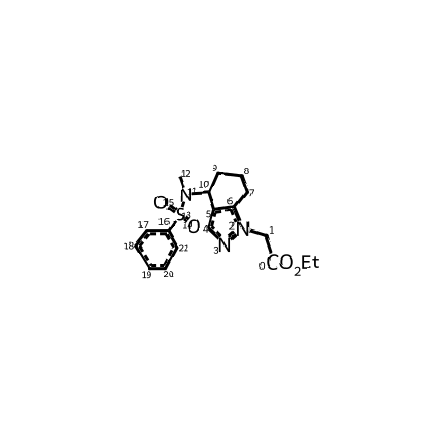 CCOC(=O)Cn1ncc2c1CCCC2N(C)S(=O)(=O)c1ccccc1